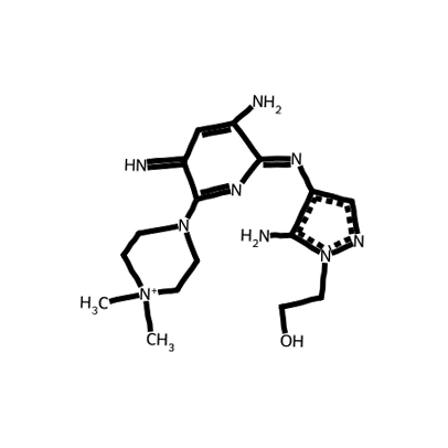 C[N+]1(C)CCN(C2=N/C(=N\c3cnn(CCO)c3N)C(N)=CC2=N)CC1